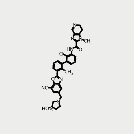 Cc1c(-c2nc3cc(CN4CC[C@@H](O)C4)cc(C#N)c3o2)cccc1-c1cccc(NC(=O)c2nc3c(n2C)CCN=C3)c1Cl